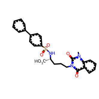 Cn1c(=O)n(CCC[C@@H](NS(=O)(=O)c2ccc(-c3ccccc3)cc2)C(=O)O)c(=O)c2ccccc21